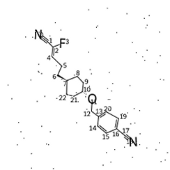 N#C/C(F)=C/CC[C@H]1CC[C@H](OCc2ccc(C#N)cc2)CC1